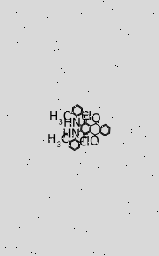 Cc1cccc(Cl)c1Nc1c(F)c2c(c(F)c1Nc1c(C)cccc1Cl)C(=O)c1ccccc1C2=O